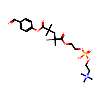 CC(C)(CC(C)(Br)C(=O)OCCOP(=O)(O)OCC[N+](C)(C)C)C(=O)Oc1ccc(C=O)cc1